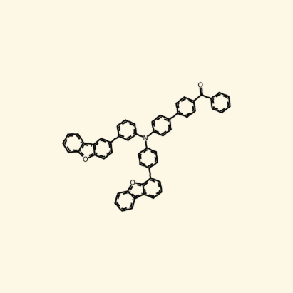 O=C(c1ccccc1)c1ccc(-c2ccc(N(c3ccc(-c4cccc5c4oc4ccccc45)cc3)c3cccc(-c4ccc5oc6ccccc6c5c4)c3)cc2)cc1